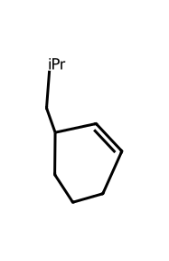 CC(C)CC1C=CCCC1